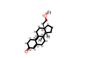 CCOCC[C@@]12CCC[C@H]1[C@@H]1CCC3=CC(=O)CCC3=C1CC2